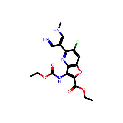 CCOC(=O)Nc1c(C(=O)OCC)oc2cc(Cl)c(/C(C=N)=C/NC)nc12